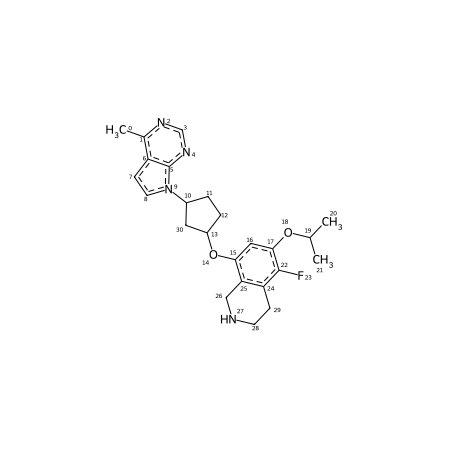 Cc1ncnc2c1ccn2C1CCC(Oc2cc(OC(C)C)c(F)c3c2CNCC3)C1